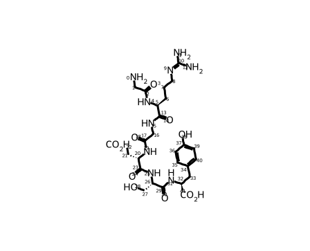 NCC(=O)N[C@@H](CCCN=C(N)N)C(=O)NCC(=O)N[C@@H](CC(=O)O)C(=O)N[C@@H](CO)C(=O)N[C@@H](Cc1ccc(O)cc1)C(=O)O